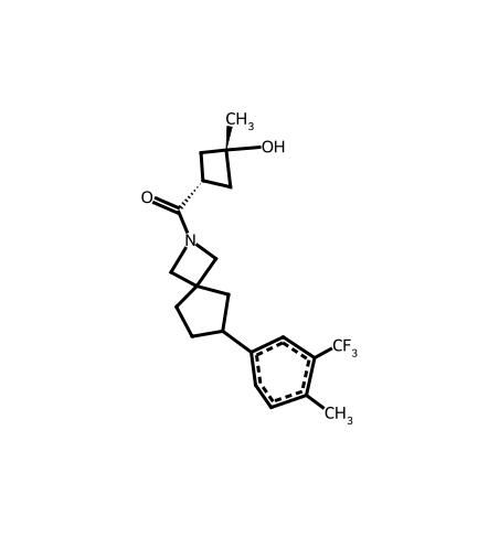 Cc1ccc(C2CCC3(C2)CN(C(=O)[C@H]2C[C@@](C)(O)C2)C3)cc1C(F)(F)F